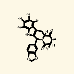 [2H]c1c([2H])c([2H])c2c3c([nH]c2c1[2H])C(c1ccc2c(c1)OCO2)N1C(=O)C([2H])([2H])N(C)C(=O)[C@H]1C3